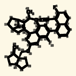 C#Cc1c(F)ccc2cccc(-c3nc4c5c(nc(OC[C@]67CCCN6CCC7=C)nc5c3F)N3CC5CCC(N5)C3C(C)O4)c12